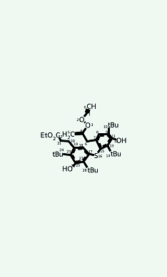 C#COOC(=C)Cc1cc(C(C)(C)C)c(O)c(C(C)(C)C)c1Sc1cc(CCC(=O)OCC)c(C(C)(C)C)c(O)c1C(C)(C)C